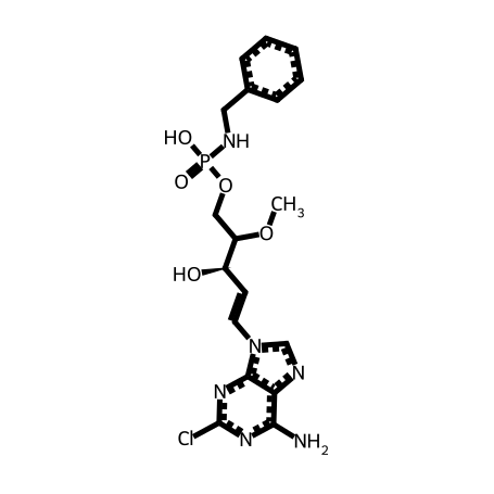 COC(COP(=O)(O)NCc1ccccc1)[C@H](O)/C=C/n1cnc2c(N)nc(Cl)nc21